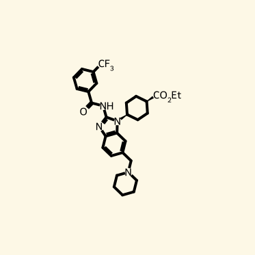 CCOC(=O)[C@H]1CC[C@@H](n2c(NC(=O)c3cccc(C(F)(F)F)c3)nc3ccc(CN4CCCCC4)cc32)CC1